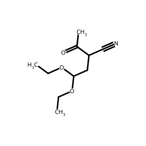 CCOC(CC(C#N)C(C)=O)OCC